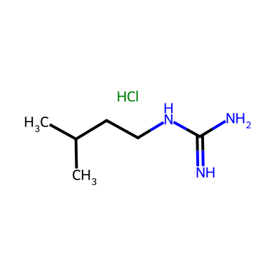 CC(C)CCNC(=N)N.Cl